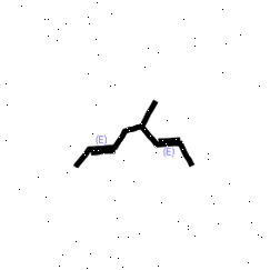 C/C=C/CC(C)/C=C/C